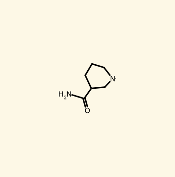 NC(=O)C1CCC[N]C1